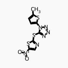 Cc1ccc(-n2nnnc2Sc2ncc([N+](=O)[O-])s2)s1